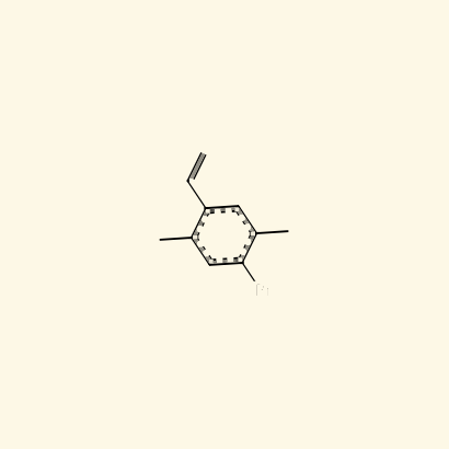 C=Cc1cc(C)c(Br)cc1C